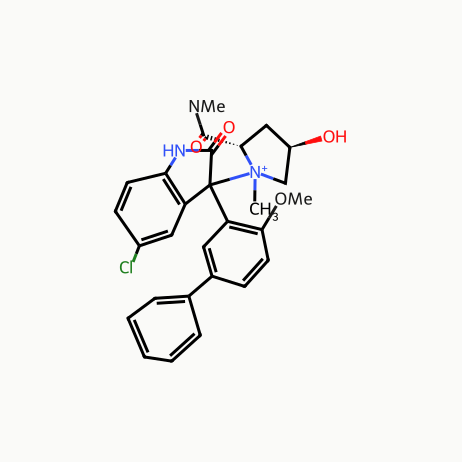 CNC(=O)[C@@H]1C[C@@H](O)C[N+]1(C)C1(c2cc(-c3ccccc3)ccc2OC)C(=O)Nc2ccc(Cl)cc21